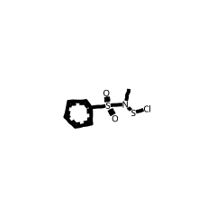 CN(SCl)S(=O)(=O)c1ccccc1